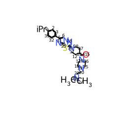 CC(C)c1ccc(-c2cn3nc(N4CCC(C(=O)N5CCN(CCN(C)C)CC5)CC4)sc3n2)cc1